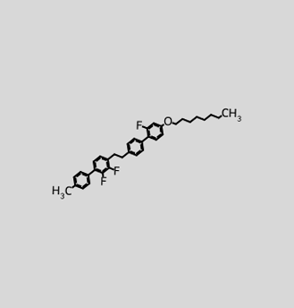 CCCCCCCCOc1ccc(-c2ccc(CCc3ccc(-c4ccc(C)cc4)c(F)c3F)cc2)c(F)c1